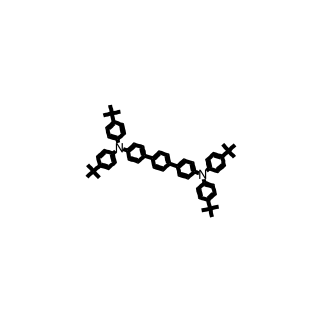 CC(C)(C)c1ccc(N(c2ccc(-c3ccc(-c4ccc(N(c5ccc(C(C)(C)C)cc5)c5ccc(C(C)(C)C)cc5)cc4)cc3)cc2)c2ccc(C(C)(C)C)cc2)cc1